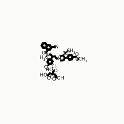 COC(=O)c1ccc(C2CCN(CCC(CN(C)C(=O)c3cc(C#N)cc4ccccc34)c3ccc(Cl)c(Cl)c3)CC2)c([S+](C)[O-])c1.O=C(O)CC(O)(CC(=O)O)C(=O)O